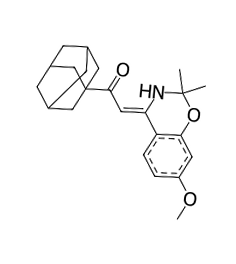 COc1ccc2c(c1)OC(C)(C)N/C2=C\C(=O)C12CC3CC(CC(C3)C1)C2